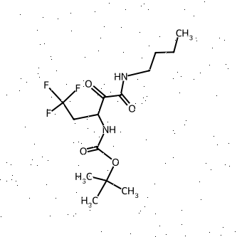 CCCCNC(=O)C(=O)C(CC(F)(F)F)NC(=O)OC(C)(C)C